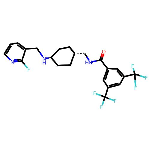 O=C(NC[C@H]1CC[C@H](NCc2cccnc2F)CC1)c1cc(C(F)(F)F)cc(C(F)(F)F)c1